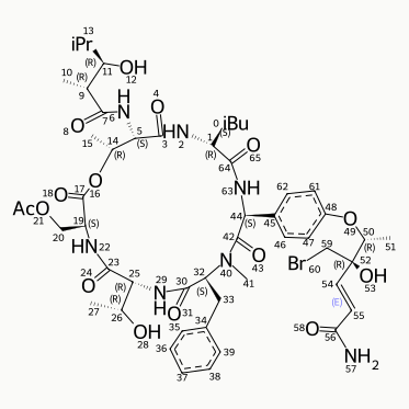 CC[C@H](C)[C@H]1NC(=O)[C@@H](NC(=O)[C@H](C)[C@H](O)C(C)C)[C@@H](C)OC(=O)[C@H](COC(C)=O)NC(=O)[C@@H]([C@@H](C)O)NC(=O)[C@H](Cc2ccccc2)N(C)C(=O)[C@H](c2ccc(O[C@H](C)[C@](O)(/C=C/C(N)=O)CBr)cc2)NC1=O